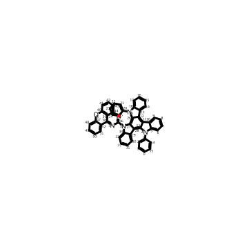 c1ccc(-n2c3ccccc3c3c4c5ccccc5n(-c5ccccc5)c4c4c(c5ccccc5n4-c4nc5c6c(cccc6n4)Oc4ccccc4-5)c32)cc1